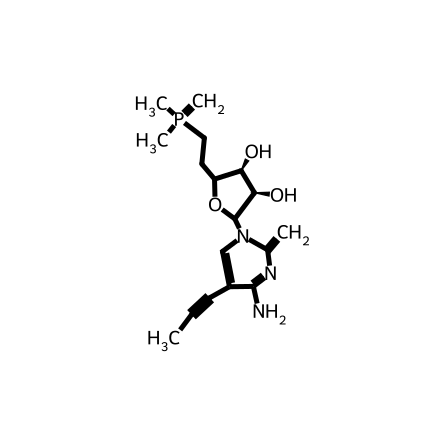 C=C1N=C(N)C(C#CC)=CN1C1OC(CCP(=C)(C)C)[C@@H](O)[C@H]1O